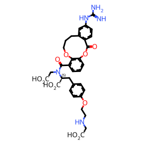 N=C(N)Nc1ccc2c(c1)CCCOc1c(cccc1C(=O)N(CC(=O)O)[C@@H](Cc1ccc(OCCNCC(=O)O)cc1)C(=O)O)OC2=O